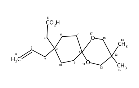 C=CCC1(CC(=O)O)CCC2(CC1)OCC(C)(C)CO2